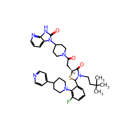 CC(C)(C)CCN1C(=O)[C@H](CC(=O)N2CCC(n3c(=O)[nH]c4ncccc43)CC2)SC1c1cccc(F)c1N1CCC(c2ccncc2)CC1